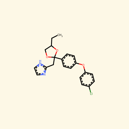 CCC1COC(Cc2ncc[nH]2)(c2ccc(Oc3ccc(Cl)cc3)cc2)O1